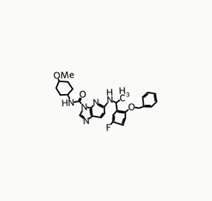 COC1CCC(NC(=O)n2cnc3ccc(NC(C)c4cc(F)ccc4OCc4ccccc4)nc32)CC1